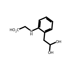 O=C(O)CNc1ccccc1CC(O)O